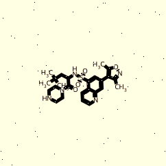 Cc1noc(C)c1-c1cc(S(=O)(=O)NC(CC(C)(C)C)C(=O)N2CCNCC2)c2cccnc2c1